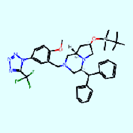 COc1ccc(-n2nnnc2C(F)(F)F)cc1CN1C[C@@H]2C[C@@H](O[Si](C)(C)C(C)(C)C)CN2[C@@H](C(c2ccccc2)c2ccccc2)C1